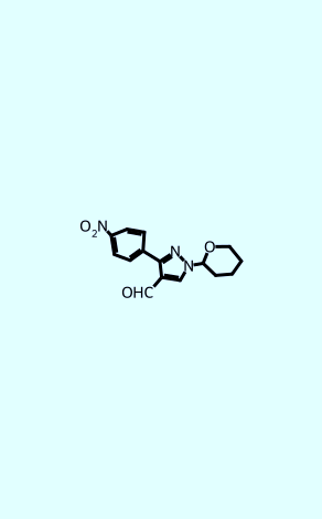 O=Cc1cn(C2CCCCO2)nc1-c1ccc([N+](=O)[O-])cc1